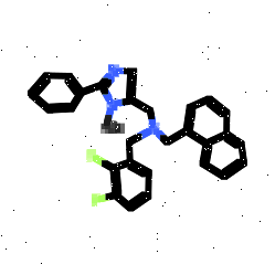 CCCCn1c(CN(Cc2cccc(F)c2F)Cc2cccc3ccccc23)cnc1-c1ccccc1